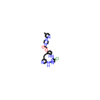 Cc1ccnc(N2CCN(C(=O)COc3ccc4cc3CCc3cncc(c3)Nc3ncc(Cl)c(n3)N4)CC2)c1